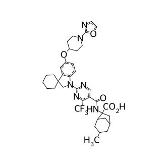 CC1CC2CC(C1)C(NC(=O)c1cnc(N3CC4(CCCCC4)c4cc(OC5CCN(c6ncco6)CC5)ccc43)nc1C(F)(F)F)(C(=O)O)C2